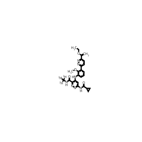 [2H]C([2H])([2H])NC(=O)c1nnc(NC(=O)C2CC2)cc1Nc1cccc(-c2ccc(C(=C)OCC)nn2)c1OC